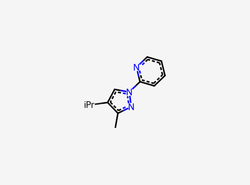 Cc1nn(-c2ccccn2)cc1C(C)C